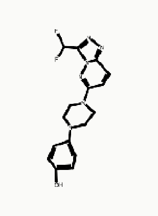 Oc1ccc(N2CCN(c3ccc4nnc(C(F)F)n4n3)CC2)cc1